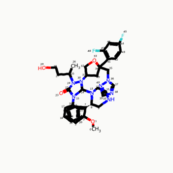 COc1ccccc1[C@H]1CNCCN1C1N(c2ccccc2)C(=O)N(C(C)CCO)N1C1COC(Cn2cncn2)(c2ccc(F)cc2F)C1